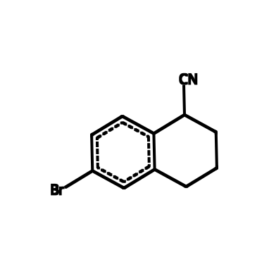 N#CC1CCCc2cc(Br)ccc21